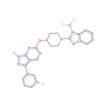 Cn1nc(-c2cccc(F)c2)c2cnc(OC3CCN(c4nc5ccccc5n4C(F)F)CC3)nc21